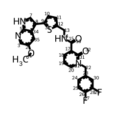 COc1cnc2[nH]cc(-c3ccc(CNC(=O)c4cccn(Cc5ccc(F)c(F)c5)c4=O)s3)c2c1